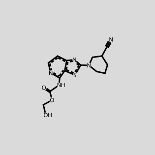 N#CC1CCCN(c2nc3ccnc(NC(=O)OCO)c3s2)C1